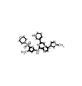 Cc1cc(Nc2nc(C3=CCCNC3)cn3c(C4C=NN(C)C4)cnc23)sc1S(=O)(=O)N1CCOCC1